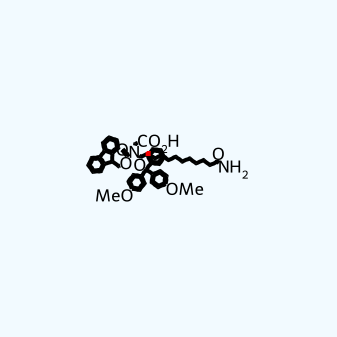 COc1ccc(C(OC(CCCCCCCCCCC(N)=O)N(CC(=O)O)C(=O)OCC2c3ccccc3-c3ccccc32)(c2ccccc2)c2ccc(OC)cc2)cc1